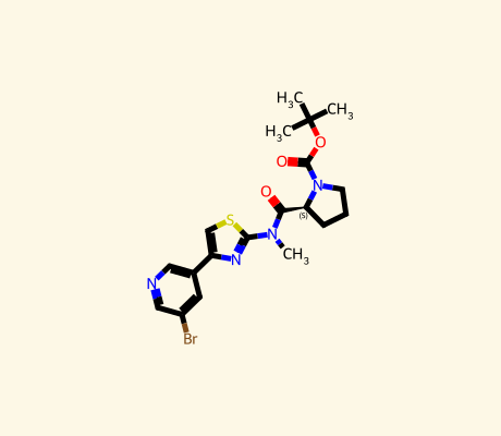 CN(C(=O)[C@@H]1CCCN1C(=O)OC(C)(C)C)c1nc(-c2cncc(Br)c2)cs1